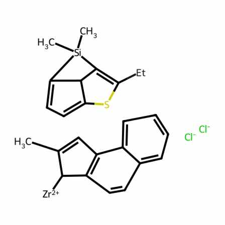 CC1=Cc2c(ccc3ccccc23)[CH]1[Zr+2].CCC1=C2C3C(=CC=C3[Si]2(C)C)S1.[Cl-].[Cl-]